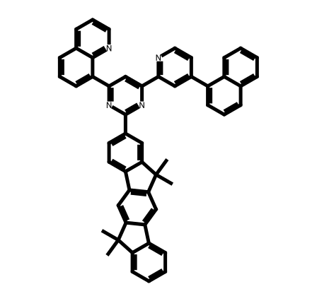 CC1(C)c2ccccc2-c2cc3c(cc21)-c1ccc(-c2nc(-c4cc(-c5cccc6ccccc56)ccn4)cc(-c4cccc5cccnc45)n2)cc1C3(C)C